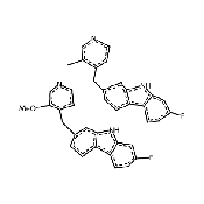 COc1cnccc1Cc1ccc2c(c1)[nH]c1cc(F)ccc12.Cc1cnccc1Cc1ccc2c(c1)[nH]c1cc(F)ccc12